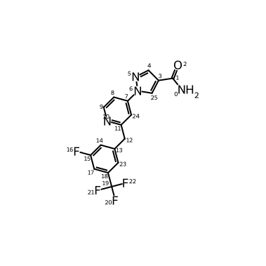 NC(=O)c1cnn(-c2ccnc(Cc3cc(F)cc(C(F)(F)F)c3)c2)c1